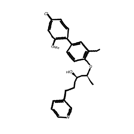 COc1cc(Cl)ccc1-c1ccc(O[C@@H](C)[C@H](O)CCc2cccnc2)c(C)c1